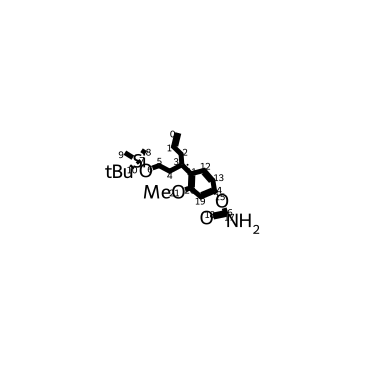 C=CC[C](CCO[Si](C)(C)C(C)(C)C)c1ccc(OC(N)=O)cc1OC